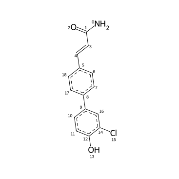 NC(=O)/C=C/c1ccc(-c2ccc(O)c(Cl)c2)cc1